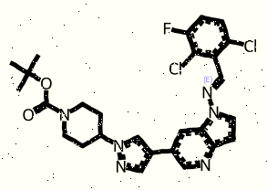 CC(C)(C)OC(=O)N1CCC(n2cc(-c3cnc4ccn(/N=C/c5c(Cl)ccc(F)c5Cl)c4c3)cn2)CC1